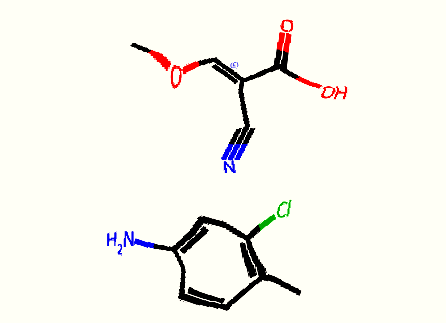 CO/C=C(\C#N)C(=O)O.Cc1ccc(N)cc1Cl